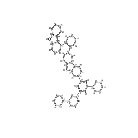 c1ccc(-c2cccc(-c3nc(-c4ccccc4)nc(-c4ccc5c(c4)sc4ccc(-c6ccccc6-c6cccc7oc8ccccc8c67)cc45)n3)c2)cc1